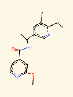 CCc1ncc(C(C)NC(=O)c2ccnc(OC)c2)cc1C